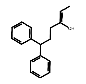 CC=C(O)CCC(c1ccccc1)c1ccccc1